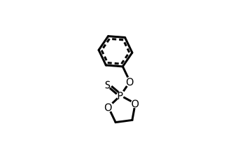 S=P1(Oc2ccccc2)OCCO1